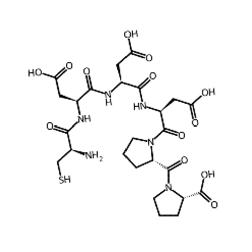 N[C@@H](CS)C(=O)N[C@@H](CC(=O)O)C(=O)N[C@@H](CC(=O)O)C(=O)N[C@@H](CC(=O)O)C(=O)N1CCC[C@H]1C(=O)N1CCC[C@H]1C(=O)O